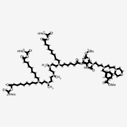 CCCCCCC(CC)OC(=O)CCCCCCCCN(CCCCCCCCC(=O)OC(CC)CCCCCC)CCN(C)CCN(C)CCN(C)CCN(CCCCCCCCC(=O)OC(CC)CCCCCC)CCCCCC(=O)Nc1nc(OCCCC)nc2c1[nH]c(=O)n2CCCN(CCCN1CCOCC1)Cc1cccc(C(=O)OC)c1